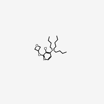 CCC[CH2][Sn]([CH2]CCC)([CH2]CCC)[c]1ccnc(OC2COC2)c1Cl